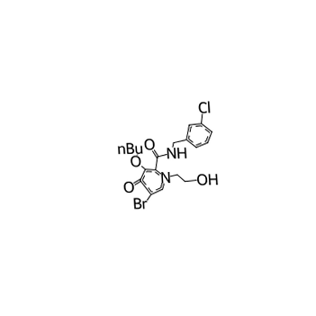 CCCCOc1c(C(=O)NCc2cccc(Cl)c2)n(CCO)cc(Br)c1=O